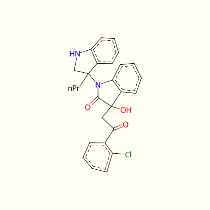 CCCC1(N2C(=O)C(O)(CC(=O)c3ccccc3Cl)c3ccccc32)CNc2ccccc21